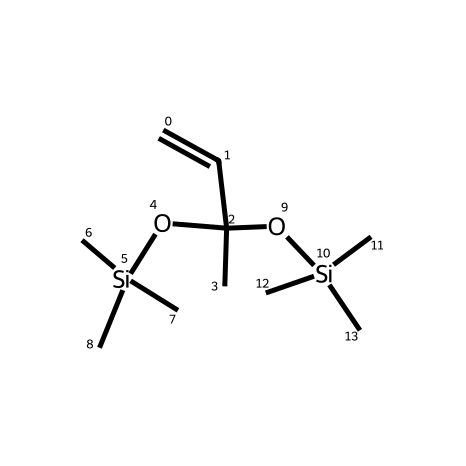 C=CC(C)(O[Si](C)(C)C)O[Si](C)(C)C